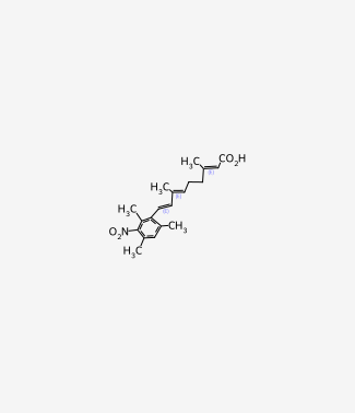 CC(/C=C/c1c(C)cc(C)c([N+](=O)[O-])c1C)=C\CC/C(C)=C/C(=O)O